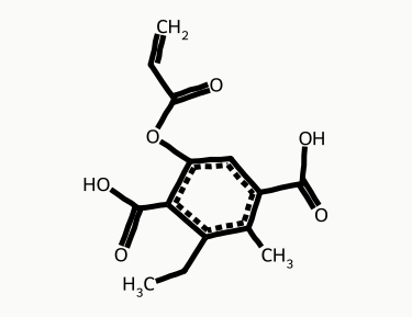 C=CC(=O)Oc1cc(C(=O)O)c(C)c(CC)c1C(=O)O